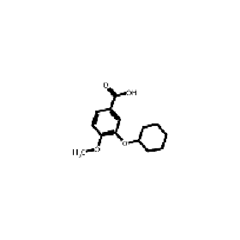 COc1ccc(C(=O)O)cc1OC1CCCCC1